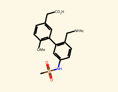 COc1ccc(CC(=O)O)cc1-c1cc(NS(C)(=O)=O)ccc1CNC(C)=O